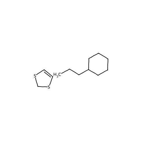 C1=CSCS1.CCCC1CCCCC1